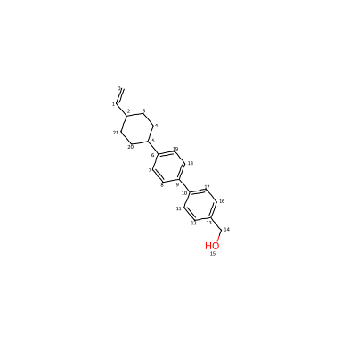 C=CC1CCC(c2ccc(-c3ccc(CO)cc3)cc2)CC1